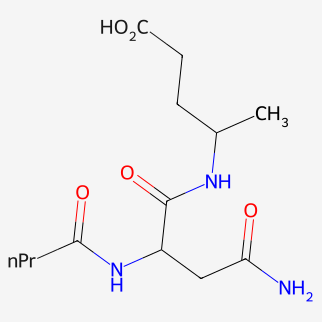 CCCC(=O)NC(CC(N)=O)C(=O)NC(C)CCC(=O)O